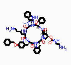 NCCCCC1NC(=O)[C@@H](Nc2c[nH]c3ccccc23)NC(=O)[C@H](c2ccccc2)NC(=O)[C@@H]2C[C@@H](OC(=O)NCCN)CN2C(=O)[C@H](Cc2ccccc2)NC(=O)[C@H](Cc2ccc(OCc3ccccc3)cc2)NC1=O